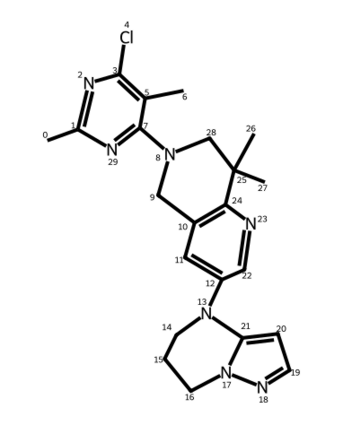 Cc1nc(Cl)c(C)c(N2Cc3cc(N4CCCn5nccc54)cnc3C(C)(C)C2)n1